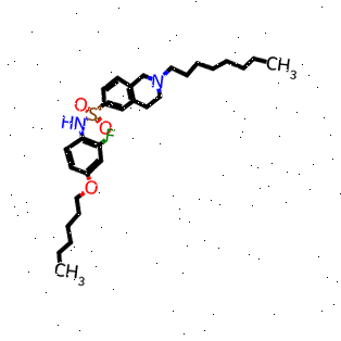 CCCCCCCCN1CCc2cc(S(=O)(=O)Nc3ccc(OCCCCCC)cc3F)ccc2C1